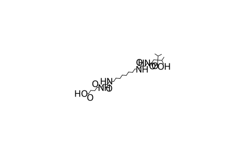 CC(C)C(CC(=O)NCC(=O)NCCCCCCCCNC(=O)CNC(=O)CCC(=O)O)(C(=O)O)C(C)C